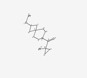 CC(C)OC1CC2(CCN(C(=O)C3(C(C)C)CC3)CC2)C1